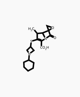 CC1C(SC2CN(C3CCCCC3)C2)=C(C(=O)O)N2C(=O)C3(CO3)C12